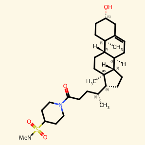 CNS(=O)(=O)C1CCN(C(=O)CC[C@@H](C)[C@H]2CC[C@H]3[C@@H]4CC=C5C[C@@H](O)CC[C@]5(C)[C@H]4CC[C@]23C)CC1